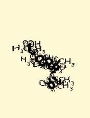 CC(C)C1=C2[C@H]3CCC4[C@@]5(C)CC[C@H](OC(=O)CC(C)(C)C(=O)O)C(C)(C)C5CC[C@@]4(C)[C@]3(C)CC[C@@]2(CCN(CCN(C)C)Cc2ccccc2Cl)CC1=O